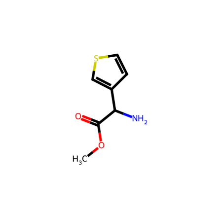 COC(=O)C(N)c1ccsc1